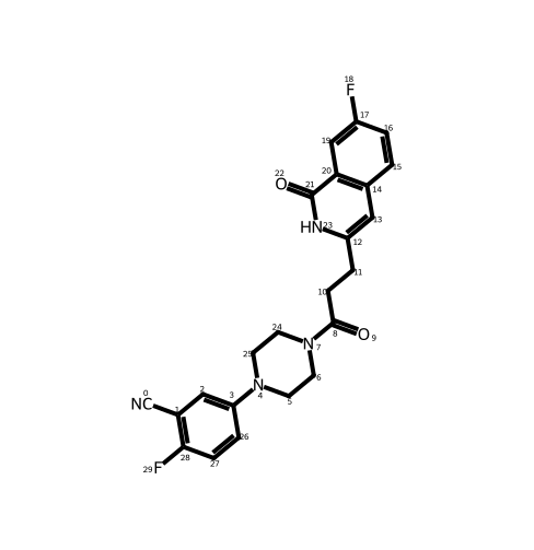 N#Cc1cc(N2CCN(C(=O)CCc3cc4ccc(F)cc4c(=O)[nH]3)CC2)ccc1F